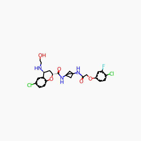 O=C(COc1ccc(Cl)c(F)c1)NC12CC(NC(=O)[C@H]3C[C@H](NCCO)c4cc(Cl)ccc4O3)(C1)C2